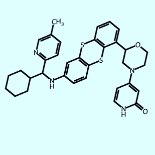 Cc1ccc(C(Nc2ccc3c(c2)Sc2cccc(C4CN(c5cc[nH]c(=O)c5)CCO4)c2S3)C2CCCCC2)nc1